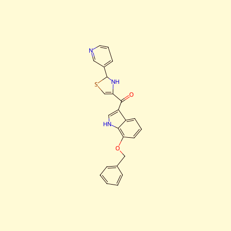 O=C(C1=CSC(c2cccnc2)N1)c1c[nH]c2c(OCc3ccccc3)cccc12